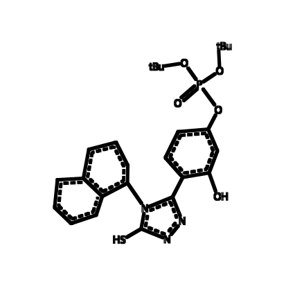 CC(C)(C)OP(=O)(Oc1ccc(-c2nnc(S)n2-c2cccc3ccccc23)c(O)c1)OC(C)(C)C